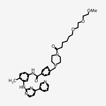 COCCOCCOCCCCCC(=O)N1CCN(Cc2ccc(C(=O)Nc3ccc(C)c(Nc4nccc(-c5cccnc5)n4)c3)cc2)CC1